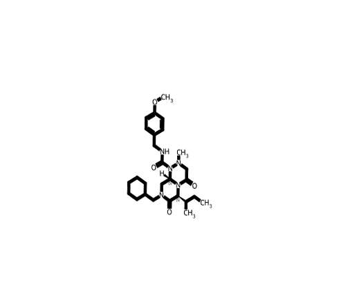 CCC(C)[C@H]1C(=O)N(CC2CCCCC2)C[C@H]2N1C(=O)CN(C)N2C(=O)NCc1ccc(OC)cc1